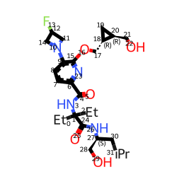 CCC(CC)(NC(=O)c1ccc(N2CC(F)C2)c(OC[C@@H]2C[C@H]2CO)n1)C(=O)N[C@H](CO)CC(C)C